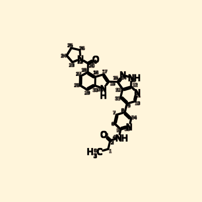 CCC(=O)Nc1ccc(-c2cnc3[nH]nc(-c4cc5c(C(=O)N6CCCC6)cccc5[nH]4)c3c2)cn1